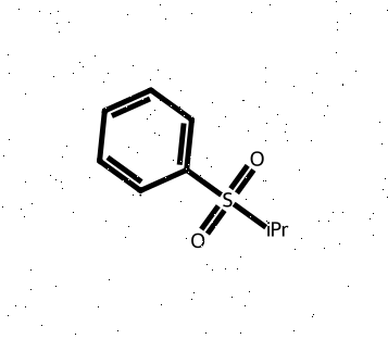 CC(C)S(=O)(=O)c1[c]cccc1